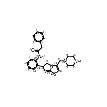 O=C(Cc1ccccc1)Nc1ccccc1C1CN2C(CN3CCNCC3)=CSC2=N1